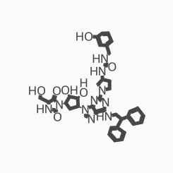 O=C(NCc1cccc(O)c1)NC1CCN(c2nc(NCC(c3ccccc3)c3ccccc3)c3ncn([C@@H]4C[C@H](N5C(=O)NC(CO)C5=O)[C@@H](O)[C@H]4O)c3n2)C1